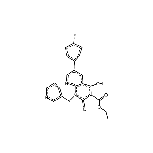 CCOC(=O)c1c(O)c2cc(-c3ccc(F)cc3)cnc2n(Cc2cccnc2)c1=O